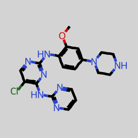 COc1cc(N2CCNCC2)ccc1Nc1ncc(Cl)c(Nc2ncccn2)n1